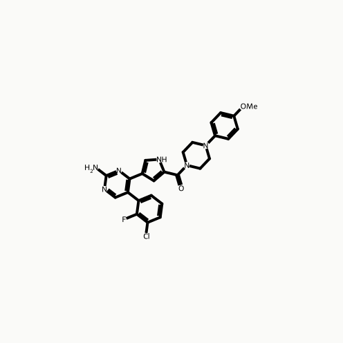 COc1ccc(N2CCN(C(=O)c3cc(-c4nc(N)ncc4-c4cccc(Cl)c4F)c[nH]3)CC2)cc1